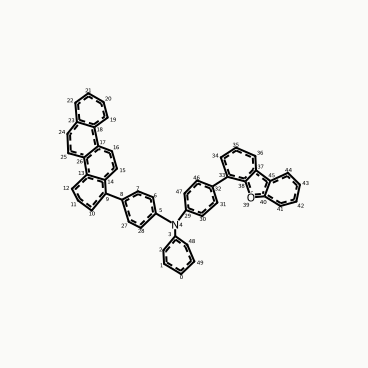 c1ccc(N(c2ccc(-c3cccc4c3ccc3c5ccccc5ccc43)cc2)c2ccc(-c3cccc4c3oc3ccccc34)cc2)cc1